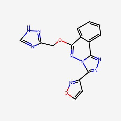 c1ccc2c(c1)c(OCc1nc[nH]n1)nn1c(-c3ccon3)nnc21